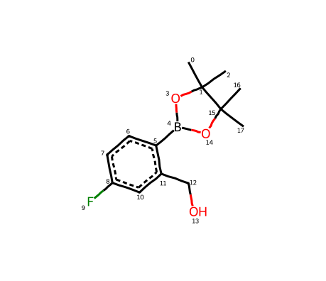 CC1(C)OB(c2ccc(F)cc2CO)OC1(C)C